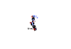 COc1cc(N2CCC(=O)N(CC(=O)N3CCC(C(N)=O)CC3)CC2)ccc1-c1cnc(C)o1